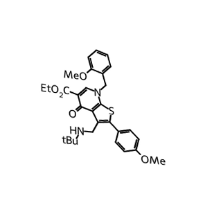 CCOC(=O)c1cn(Cc2ccccc2OC)c2sc(-c3ccc(OC)cc3)c(CNC(C)(C)C)c2c1=O